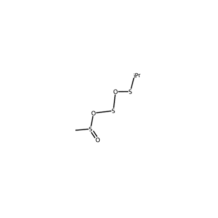 CC(C)SOSOS(C)=O